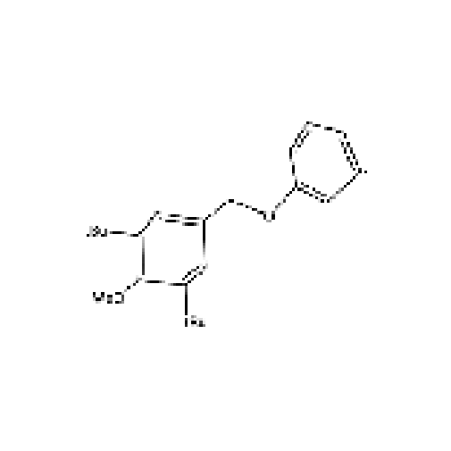 COc1c(C(C)(C)C)cc(COc2c[c]ccc2)cc1C(C)(C)C